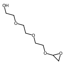 OCCOCCOCCOC1CO1